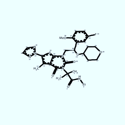 CCNC(=O)C(C)(C)n1c(=O)c2c(C)c(-n3nccn3)sc2n(C[C@H](OC2CCOCC2)c2cc(F)ccc2OC)c1=O